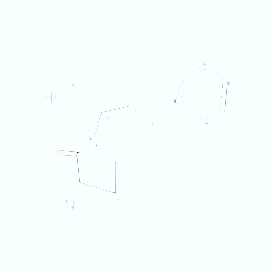 N[C@H]1CCN([C@@H](CCc2ccccc2)C(=O)O)C1=O